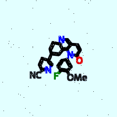 COc1cc(-n2c(=O)ccc3cnc4ccc(-c5ccc(C#N)nc5)cc4c32)ccc1F